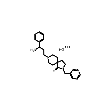 Cl.Cl.NC(CCN1CCC2(CC1)CCN(Cc1cccnc1)C2=O)c1ccccc1